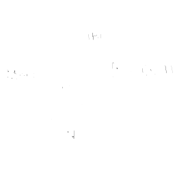 COCCCOc1cc2c(cc1-c1ccc3c(c1)OCCN3C)-c1cc(=O)c(C(=O)O)cn1C(CC(C)(C)C)C2